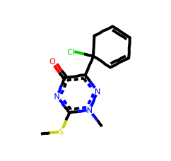 CSc1nc(=O)c(C2(Cl)C=CC=CC2)nn1C